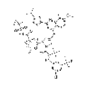 C=C[C@@H]1C[C@]1(NC(=O)[C@@H]1C[C@@H](Oc2cc(-c3nc(C(C)C)cs3)nc3c(C)c(OC)ccc23)CN1C(=O)[C@@H](Nc1cc(Cl)cc(C(F)(F)F)c1)C(C)(C)C)C(=O)NS(=O)(=O)C1(C)CC1